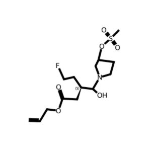 C=CCOC(=O)C[C@@H](CCF)C(O)N1CCC(OS(C)(=O)=O)C1